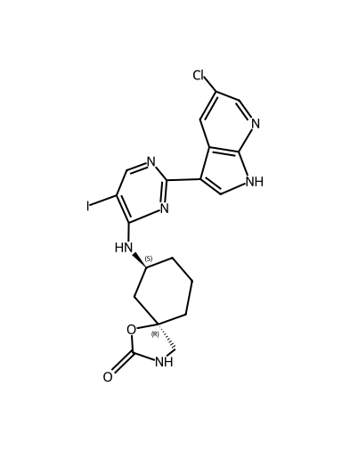 O=C1NC[C@]2(CCC[C@H](Nc3nc(-c4c[nH]c5ncc(Cl)cc45)ncc3I)C2)O1